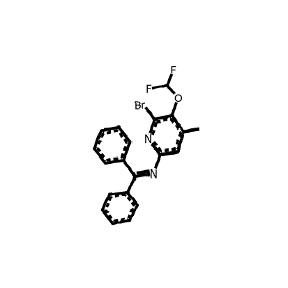 Cc1cc(N=C(c2ccccc2)c2ccccc2)nc(Br)c1OC(F)F